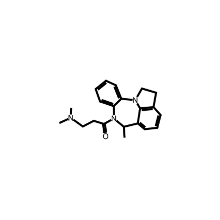 CC1c2cccc3c2N(CC3)c2ccccc2N1C(=O)CCN(C)C